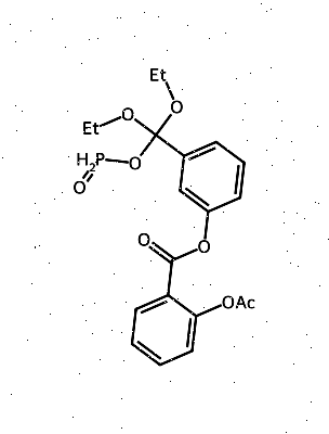 CCOC(OCC)(O[PH2]=O)c1cccc(OC(=O)c2ccccc2OC(C)=O)c1